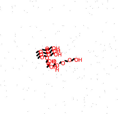 CC(=O)O.CC(=O)O.CC(=O)O.CCOCCOCCO.CCOCCOCCO.CCOCCOCCO.CCOCCOCCO